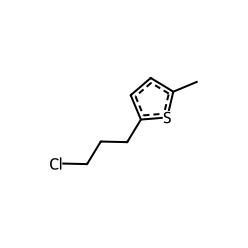 Cc1ccc(CCCCl)s1